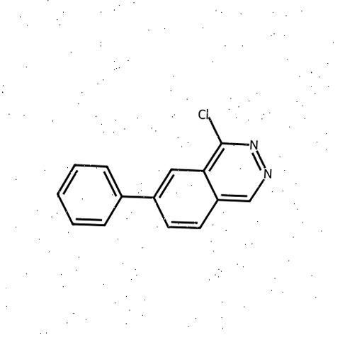 Clc1nncc2ccc(-c3ccccc3)cc12